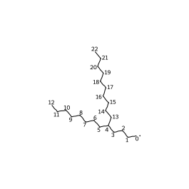 [CH2]CCCC(CCCCCCCC)CCCCCCCCCC